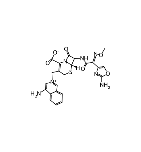 CON=C(C(=O)NC1C(=O)N2C(C(=O)[O-])=C(C[n+]3cc(N)c4ccccc4c3)CS[C@@H]12)c1coc(N)n1